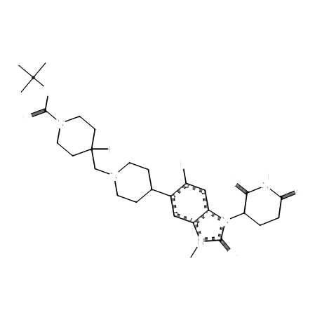 Cn1c(=O)n(C2CCC(=O)NC2=O)c2cc(F)c(C3CCN(CC4(F)CCN(C(=O)OC(C)(C)C)CC4)CC3)cc21